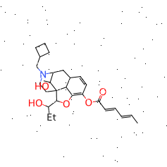 C/C=C/C=C/C(=O)OC1=C2OC(C(O)CC)C34CCN(CC5CCC5)C(CC(C=C1)C23)C4(C)O